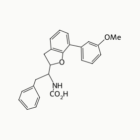 COc1cccc(-c2cccc3c2OC(C(Cc2ccccc2)NC(=O)O)C3)c1